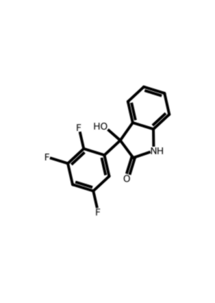 O=C1Nc2ccccc2C1(O)c1cc(F)cc(F)c1F